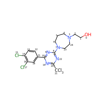 OCCN1CCCN(c2nc(-c3ccc(Cl)c(Cl)c3)nc(C(Cl)(Cl)Cl)n2)CC1